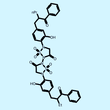 CCCC(Cc1ccc(N2CC(=O)N(N3C(=O)CN(c4ccc(CC(CC)C(=O)c5ccccc5)cc4O)S3(=O)=O)S2(=O)=O)c(O)c1)C(=O)c1ccccc1